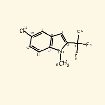 Cn1c(C(F)(F)F)cc2cc(Cl)ccc21